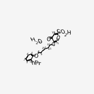 CCCc1ccccc1OCCCCCOc1coc(C(=O)O)cc1=O.O